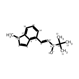 Cn1ccc2c(C=N[S+]([O-])C(C)(C)C)cccc21